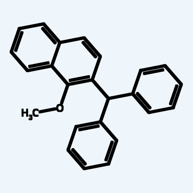 COc1c(C(c2ccccc2)c2ccccc2)ccc2ccccc12